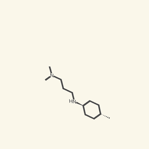 CN(C)CCCN[C@H]1CC[C@H](C)CC1